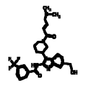 CN(C)C/C=C/C(=O)N1CCCC(n2c(NC(=O)c3cccc(C(F)(F)F)c3)nc3cc(CO)ccc32)C1